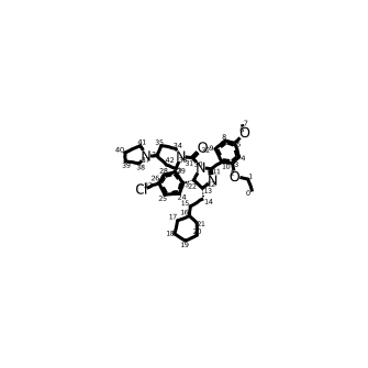 CCOc1cc(OC)ccc1C1=N[C@H](CCC2CCCCC2)[C@H](c2ccc(Cl)cc2)N1C(=O)N1CCC(N2CCCC2)CC1